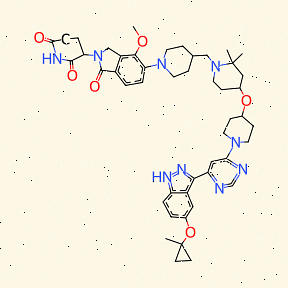 COc1c(N2CCC(CN3CCC(OC4CCN(c5cc(-c6n[nH]c7ccc(OC8(C)CC8)cc67)ncn5)CC4)CC3(C)C)CC2)ccc2c1CN(C1CCC(=O)NC1=O)C2=O